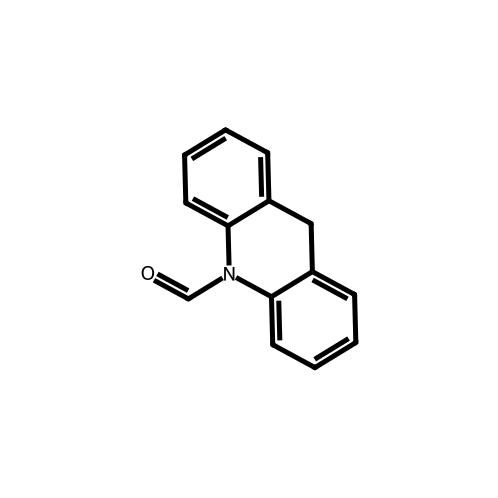 O=CN1c2ccccc2Cc2ccccc21